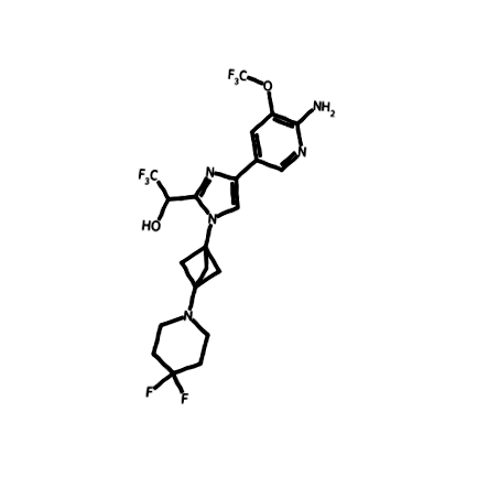 Nc1ncc(-c2cn(C34CC(N5CCC(F)(F)CC5)(C3)C4)c(C(O)C(F)(F)F)n2)cc1OC(F)(F)F